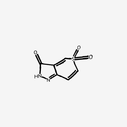 O=C1NN=C2C=CS(=O)(=O)C=C12